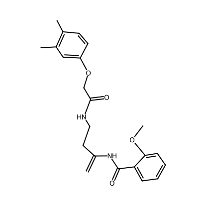 C=C(CCNC(=O)COc1ccc(C)c(C)c1)NC(=O)c1ccccc1OC